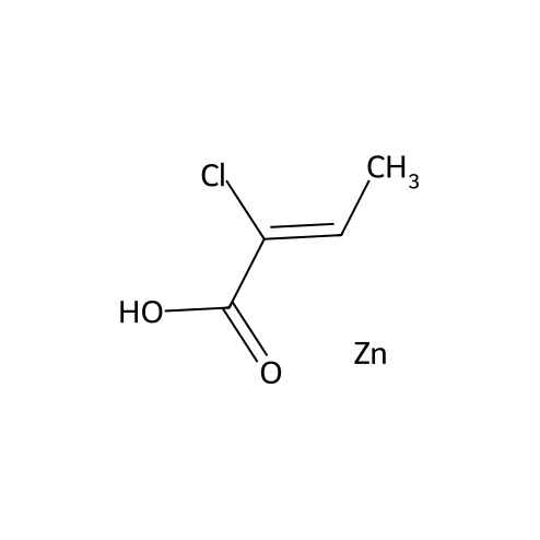 CC=C(Cl)C(=O)O.[Zn]